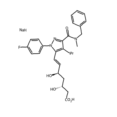 CC(C)c1c(C(=O)N(C)Cc2ccccc2)nn(-c2ccc(F)cc2)c1/C=C/[C@H](O)C[C@@H](O)CC(=O)O.[NaH]